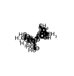 COc1ccc2c3c1O[C@@H]1C(OC(=O)C[C@H](OC(=O)C[C@H](O)C(=O)O)C(=O)O[C@@H](C)C(=O)O[C@@H](C)C(=O)O)=CC[C@]4(O)[C@H](C2)N(C)CC[C@@]314